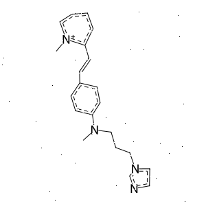 CN(CCCn1ccnc1)c1ccc(/C=C/c2cccc[n+]2C)cc1